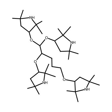 CC1(C)CC(OCCCC(OC2CC(C)(C)NC2(C)C)C(OC2CC(C)(C)NC2(C)C)OC2CC(C)(C)NC2(C)C)C(C)(C)N1